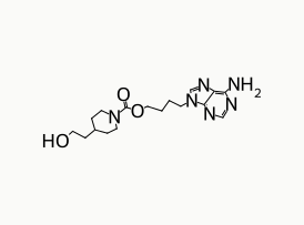 Nc1ncnc2c1ncn2CCCCOC(=O)N1CCC(CCO)CC1